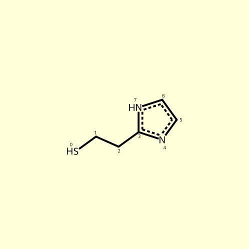 SCCc1ncc[nH]1